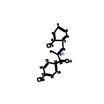 C/C(=C\c1ccccc1Cl)C(=O)c1ccc(Cl)cc1